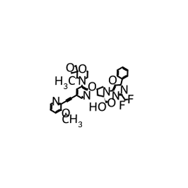 COc1cccnc1C#Cc1cnc(O[C@H]2C[C@@H](C(=O)O)N(c3nc(C(F)F)nc4c3oc3ccccc34)C2)c(N2CCOC3(COC3)[C@@H]2C)c1